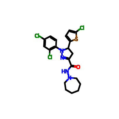 O=C(NN1CCCCCC1)C1=NN(c2ccc(Cl)cc2Cl)C(c2ccc(Cl)s2)C1